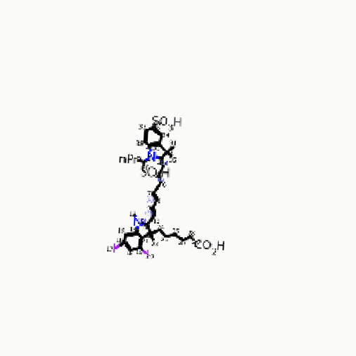 CCCC(N1\C(=C/C=C/C=C/C=C/C2=[N+](C)c3cc(I)cc(I)c3C2(C)CCCCCC(=O)O)C(C)(C)c2cc(S(=O)(=O)O)ccc21)S(=O)(=O)O